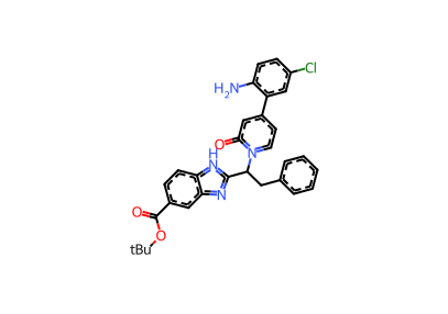 CC(C)(C)OC(=O)c1ccc2[nH]c(C(Cc3ccccc3)n3ccc(-c4cc(Cl)ccc4N)cc3=O)nc2c1